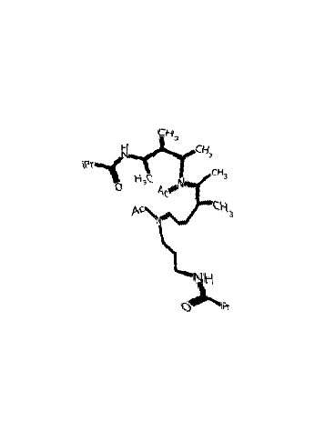 CC(=O)N(CCCNC(=O)C(C)C)CCC(C)C(C)N(C(C)=O)C(C)C(C)C(C)NC(=O)C(C)C